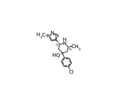 C[C@H]1C[C@@](O)(c2ccc(Cl)cc2)C[C@@H](c2cn(C)nn2)N1